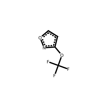 FC(F)(F)Oc1[c]con1